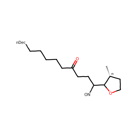 CCCCCCCCCCCCCCCC(=O)CCC(N=O)C1OCC[C@H]1C